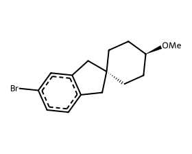 CO[C@H]1CC[C@]2(CC1)Cc1ccc(Br)cc1C2